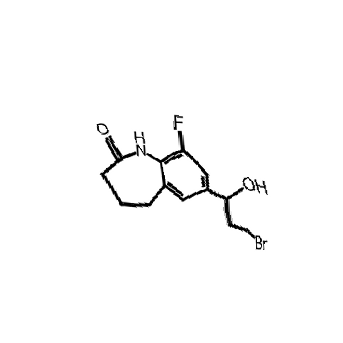 O=C1CCCc2cc(C(O)CBr)cc(F)c2N1